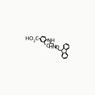 Cc1cc(C(=O)O)ccc1NC(=O)CNOCC1c2ccccc2-c2ccccc21